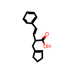 O=C(O)C(C=Cc1ccccc1)CC1=CCCC1